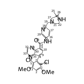 COc1cc(OC)c(Cl)c(-c2ccc(C(=O)Nc3ccc(CN4CCNC(C)(C)C4)nc3)c3nccnc23)c1Cl